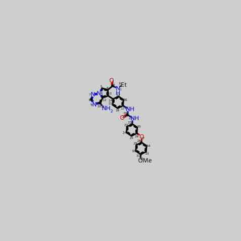 CCNC(=O)c1cn2ncnc(N)c2c1-c1ccc(NC(=O)Nc2cccc(Oc3ccc(OC)cc3)c2)cc1